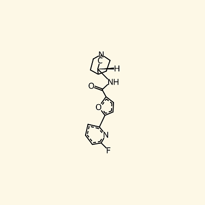 O=C(N[C@H]1CN2CCC1CC2)c1ccc(-c2cccc(F)n2)o1